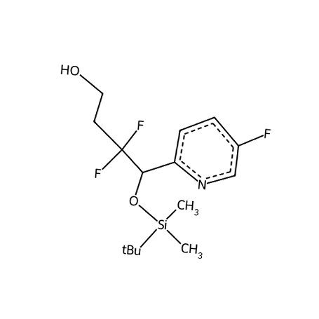 CC(C)(C)[Si](C)(C)OC(c1ccc(F)cn1)C(F)(F)CCO